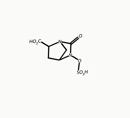 O=C(O)C1CC2CN1C(=O)N2OS(=O)(=O)O